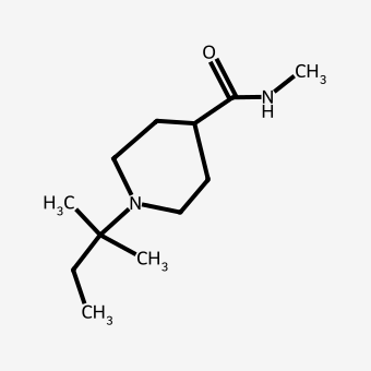 CCC(C)(C)N1CCC(C(=O)NC)CC1